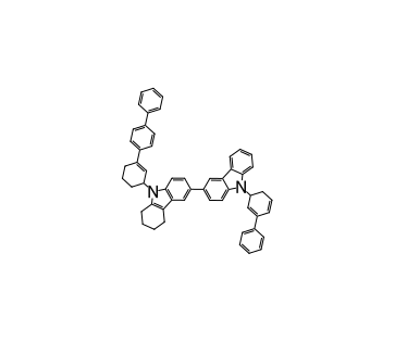 C1=CC(c2ccccc2)=CC(n2c3ccccc3c3cc(-c4ccc5c(c4)c4c(n5C5C=C(c6ccc(-c7ccccc7)cc6)CCC5)CCCC4)ccc32)C1